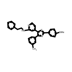 CSc1ccc(-c2nc(-c3cccc(C)c3)c(-c3ccnc(NCCc4ccccc4)c3)s2)cc1